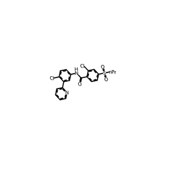 CCCS(=O)(=O)c1ccc(C(=O)Nc2ccc(Cl)c(-c3ccccn3)c2)c(Cl)c1